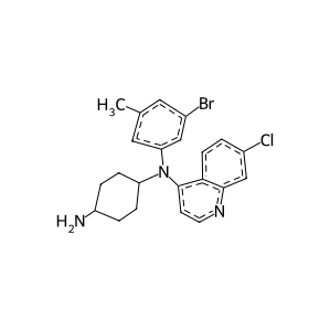 Cc1cc(Br)cc(N(c2ccnc3cc(Cl)ccc23)C2CCC(N)CC2)c1